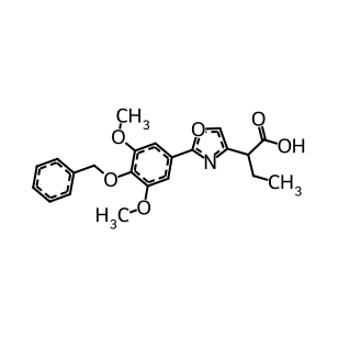 CCC(C(=O)O)c1coc(-c2cc(OC)c(OCc3ccccc3)c(OC)c2)n1